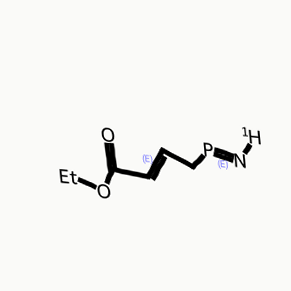 [1H]/N=P/C/C=C/C(=O)OCC